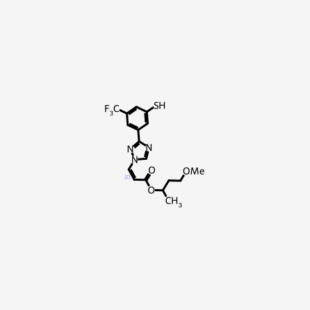 COCCC(C)OC(=O)/C=C\n1cnc(-c2cc(S)cc(C(F)(F)F)c2)n1